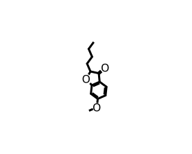 CCCCC1Oc2cc(OC)ccc2C1=O